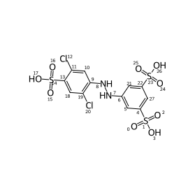 O=S(=O)(O)c1cc(NNc2cc(Cl)c(S(=O)(=O)O)cc2Cl)cc(S(=O)(=O)O)c1